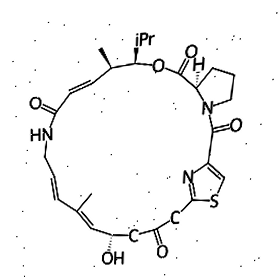 CC1=C\[C@@H](O)CC(=O)Cc2nc(cs2)C(=O)N2CCC[C@@H]2C(=O)O[C@H](C(C)C)[C@H](C)/C=C/C(=O)NC\C=C\1